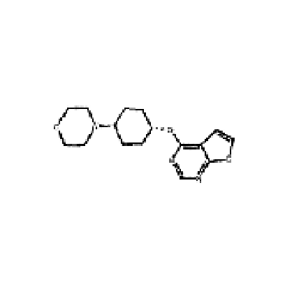 c1nc(O[C@H]2CC[C@H](N3CCOCC3)CC2)c2ccoc2n1